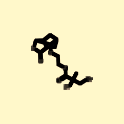 CC(C)CC(C)(C(=O)OCCOC1C2CC3C(=O)OC1C3C2)C(C)C